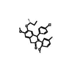 CC[C@@H](C)Oc1cc2c(cc1OC)CC(=O)N(c1cc(C)ccc1OC)C2c1ccc(Cl)cc1